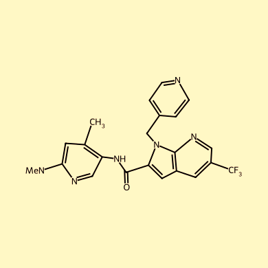 CNc1cc(C)c(NC(=O)c2cc3cc(C(F)(F)F)cnc3n2Cc2ccncc2)cn1